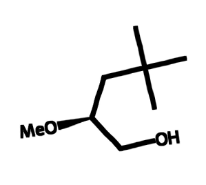 CO[C@H](CO)CC(C)(C)C